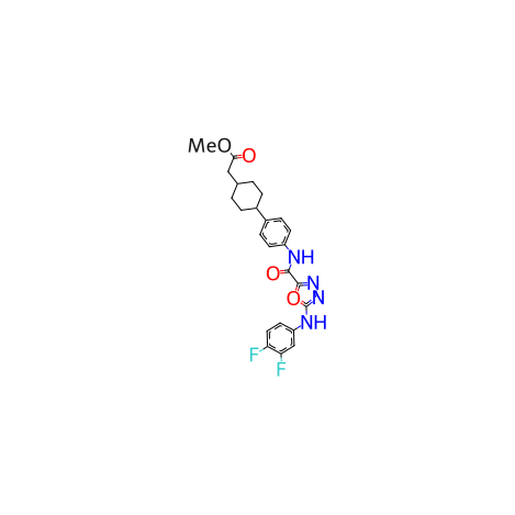 COC(=O)CC1CCC(c2ccc(NC(=O)c3nnc(Nc4ccc(F)c(F)c4)o3)cc2)CC1